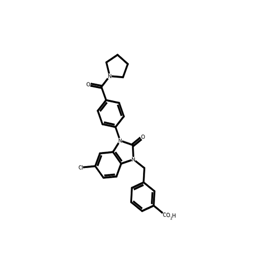 O=C(O)c1cccc(Cn2c(=O)n(-c3ccc(C(=O)N4CCCC4)cc3)c3cc(Cl)ccc32)c1